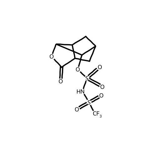 O=C1OC2C3CC(CC13)C2OS(=O)(=O)NS(=O)(=O)C(F)(F)F